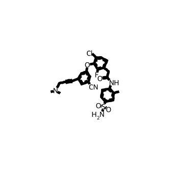 Cc1cc(S(N)(=O)=O)ccc1NC(=O)Cc1ccc(Cl)c(Oc2cc(C#N)cc(C#CCN(C)C)c2)c1F